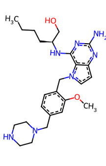 CCCC[C@@H](CO)Nc1nc(N)nc2ccn(Cc3ccc(CN4CCNCC4)cc3OC)c12